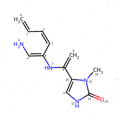 C=C/C=C\C(=C/N)NC(=C)c1c[nH]c(=O)n1C